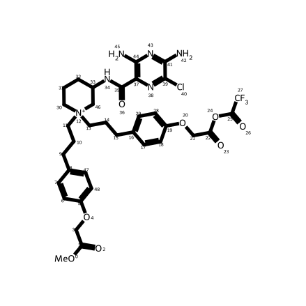 COC(=O)COc1ccc(CCC[N+]2(CCCc3ccc(OCC(=O)OC(=O)C(F)(F)F)cc3)CCCC(NC(=O)c3nc(Cl)c(N)nc3N)C2)cc1